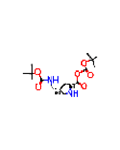 CC(C)(C)OC(=O)NC[C@H]1CN[C@H](C(=O)OC(=O)OC(C)(C)C)C1